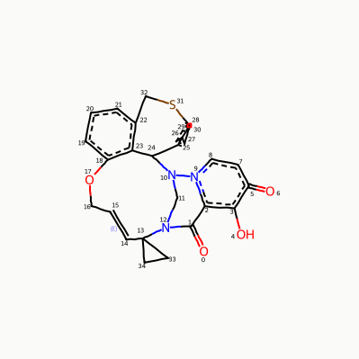 O=C1c2c(O)c(=O)ccn2N2CN1C1(/C=C/COc3cccc4c3C2c2ccccc2SC4)CC1